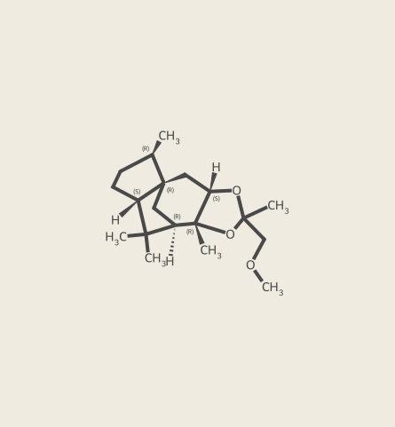 COCC1(C)O[C@H]2C[C@@]34C[C@H](C(C)(C)[C@@H]3CC[C@H]4C)[C@@]2(C)O1